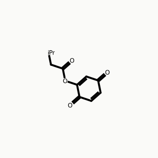 CC(C)CC(=O)OC1=CC(=O)C=CC1=O